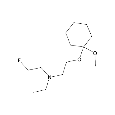 CCN(CCF)CCOC1(OC)CCCCC1